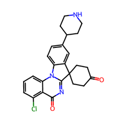 O=C1CCC2(CC1)c1cc(C3CCNCC3)ccc1-n1c2nc(=O)c2c(Cl)cccc21